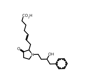 O=C(O)CCCC=CCC1C(=O)CCN1CCC(O)Cc1ccccc1